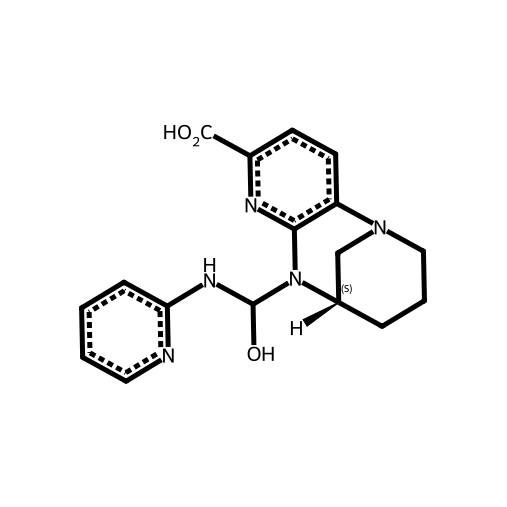 O=C(O)c1ccc2c(n1)N(C(O)Nc1ccccn1)[C@H]1CCCN2C1